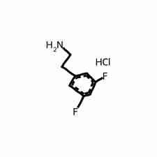 Cl.NCCc1cc(F)cc(F)c1